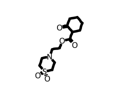 O=C1CCCCC1C(=O)OCCN1CCS(=O)(=O)CC1